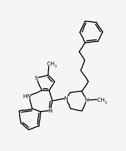 Cc1cc2c(s1)Nc1ccccc1N=C2N1CCN(C)C(CCCCc2ccccc2)C1